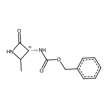 CC1NC(=O)[C@@H]1NC(=O)OCc1ccccc1